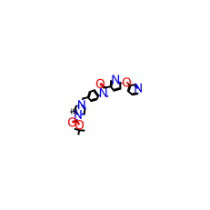 C[C@H]1CN(Cc2ccc(N(C)C(=O)c3ccc(Oc4cccnc4)nc3)cc2)CCN1C(=O)OC(C)(C)C